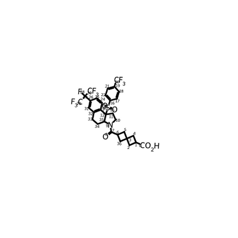 O=C(O)C1CC2(C1)CC(C(=O)N1CCC3(S(=O)(=O)c4ccc(C(F)(F)F)cc4)c4ccc(C(F)(C(F)(F)F)C(F)(F)F)cc4CCC13)C2